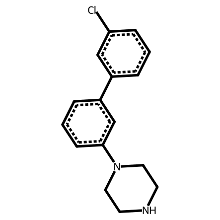 Clc1cccc(-c2cccc(N3CCNCC3)c2)c1